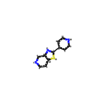 c1cc(-c2nc3cnccc3s2)ccn1